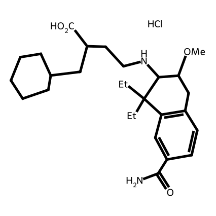 CCC1(CC)c2cc(C(N)=O)ccc2CC(OC)C1NCCC(CC1CCCCC1)C(=O)O.Cl